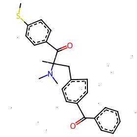 CSc1ccc(C(=O)C(C)(Cc2ccc(C(=O)c3ccccc3)cc2)N(C)C)cc1